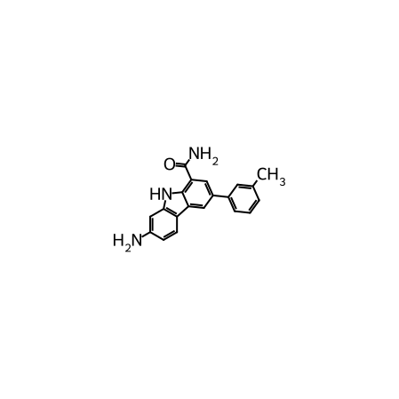 Cc1cccc(-c2cc(C(N)=O)c3[nH]c4cc(N)ccc4c3c2)c1